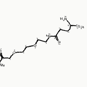 COC(=O)COCCOCCNC(=O)CCC(N)C(=O)O